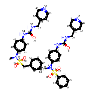 CC(C)N(c1ccc(NC(=O)NCc2ccncc2)cc1)S(=O)(=O)c1ccccc1.CN(c1ccc(NC(=O)NCc2ccncc2)cc1)S(=O)(=O)Cc1ccccc1